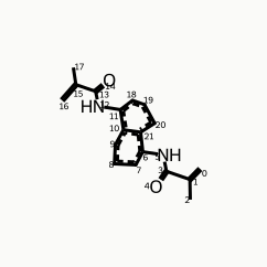 C=C(C)C(=O)Nc1cccc2c(NC(=O)C(=C)C)cccc12